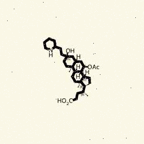 CC(=O)O[C@@H]1C[C@@H]2C[C@@](O)(CCC3CCCCN3)CC[C@]2(C)[C@H]2CC[C@]3(C)[C@@H]([C@H](C)CCC(=O)O)CC[C@H]3[C@H]12